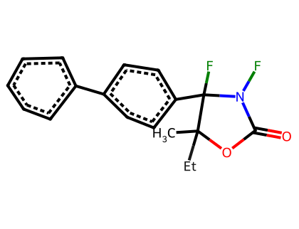 CCC1(C)OC(=O)N(F)C1(F)c1ccc(-c2ccccc2)cc1